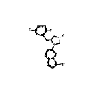 Fc1ccc(F)c(C[C@H]2C[C@H](F)CN2c2ccc3ncc(Br)n3n2)c1